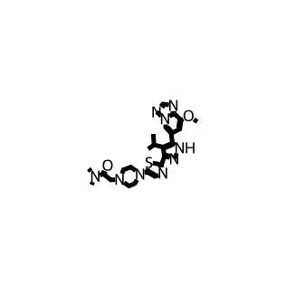 COc1cc(-c2[nH]nc(-c3ncc(N4CCN(CC(=O)N(C)C)CC4)s3)c2C(C)C)cn2ncnc12